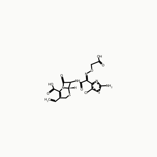 C=CC1=C(C(=O)O)N2C(=O)C(NC(=O)C(=NOCC(=O)O)c3nc(N)sc3Cl)[C@@H]2SC1